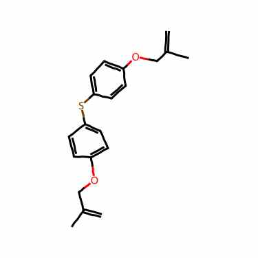 C=C(C)COc1ccc(Sc2ccc(OCC(=C)C)cc2)cc1